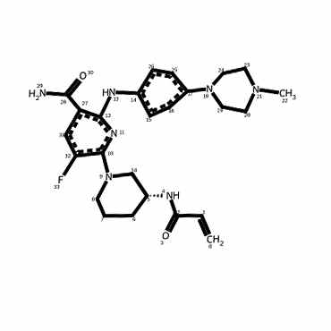 C=CC(=O)N[C@@H]1CCCN(c2nc(Nc3ccc(N4CCN(C)CC4)cc3)c(C(N)=O)cc2F)C1